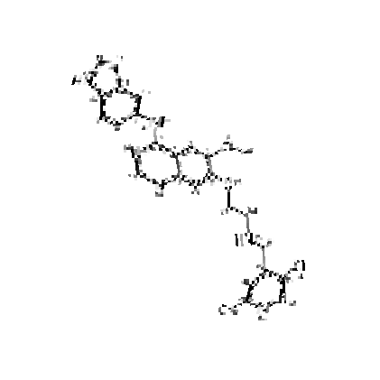 COc1cc2c(Nc3ccc4[nH]ccc4c3)ncnc2cc1OCCNCc1cc(Cl)nnc1Cl